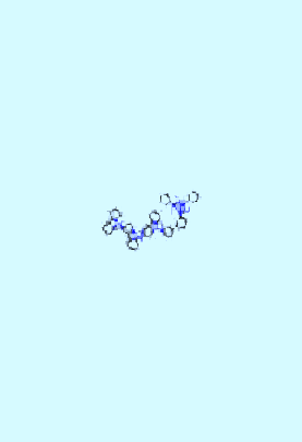 c1ccc(-c2nc(-c3ccccc3)nc(-c3cccc(-c4cccc(-n5c6ccccc6c6cc(-n7c8ccccc8c8cc(-n9c%10ccccc%10c%10ccccc%109)ccc87)ccc65)c4)c3)n2)cc1